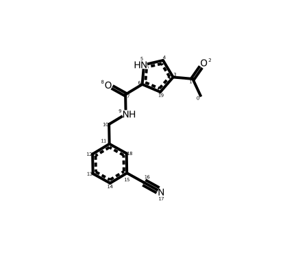 CC(=O)c1c[nH]c(C(=O)NCc2cccc(C#N)c2)c1